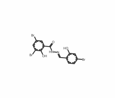 O=C(N/N=C/c1ccc(Br)cc1O)c1cc(Br)cc(Br)c1O